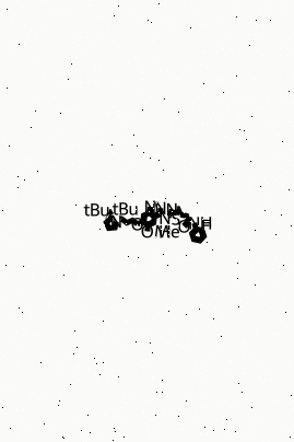 COc1cc2c(Nc3ncc(CC(=O)Nc4ccccc4F)s3)ncnc2cc1OCCCN1CCC[C@H]1C(C(C)(C)C)C(C)(C)C